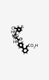 O=C(O)CC1CCCCC1c1ccc(NC(=O)c2nnc(Nc3ccc(F)cc3Cl)o2)cc1